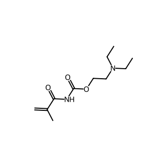 C=C(C)C(=O)NC(=O)OCCN(CC)CC